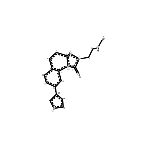 CC(C)NCCn1nc2ccc3ccc(-c4ccsc4)cc3n2c1=O